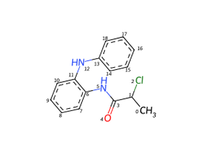 CC(Cl)C(=O)Nc1ccccc1Nc1ccccc1